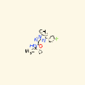 Cc1cc(-c2ccc(F)cc2)nc2c(C(=O)N[C@@H](C)C3CCC3)ncn12